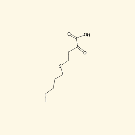 CCCCCSCCC(=O)C(=O)O